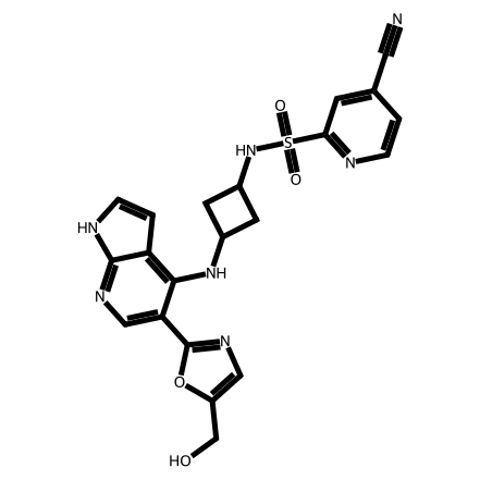 N#Cc1ccnc(S(=O)(=O)NC2CC(Nc3c(-c4ncc(CO)o4)cnc4[nH]ccc34)C2)c1